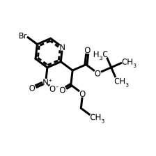 CCOC(=O)C(C(=O)OC(C)(C)C)c1ncc(Br)cc1[N+](=O)[O-]